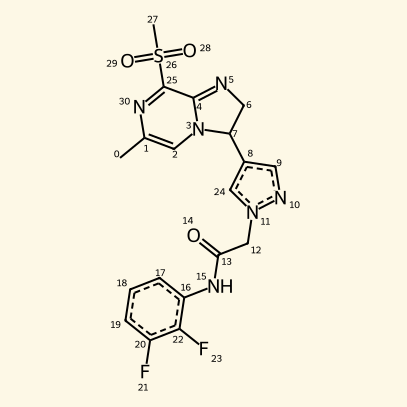 CC1=CN2C(=NCC2c2cnn(CC(=O)Nc3cccc(F)c3F)c2)C(S(C)(=O)=O)=N1